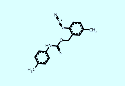 Cc1ccc(NC(=S)OCc2cc(C)ccc2N=[N+]=[N-])cc1